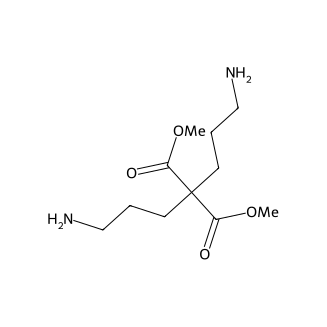 COC(=O)C(CCCN)(CCCN)C(=O)OC